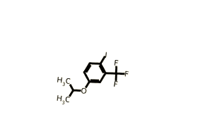 CC(C)Oc1ccc(I)c(C(F)(F)F)c1